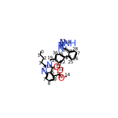 CCCCc1nc2cccc(C(=O)OC)c2c(=O)n1Cc1ccc(-c2ccccc2-c2nnn[nH]2)cc1